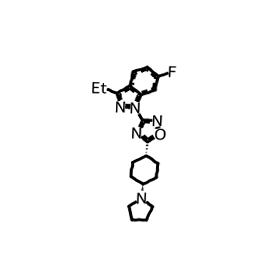 CCc1nn(-c2noc([C@H]3CC[C@@H](N4CCCC4)CC3)n2)c2cc(F)ccc12